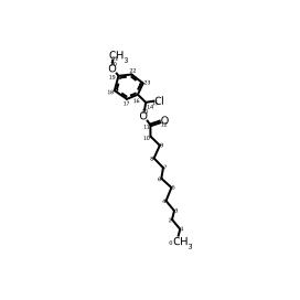 CCCCCCCCCCCC(=O)OC(Cl)c1ccc(OC)cc1